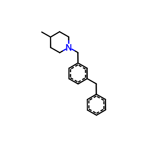 CC1CCN(Cc2cccc(Cc3ccccc3)c2)CC1